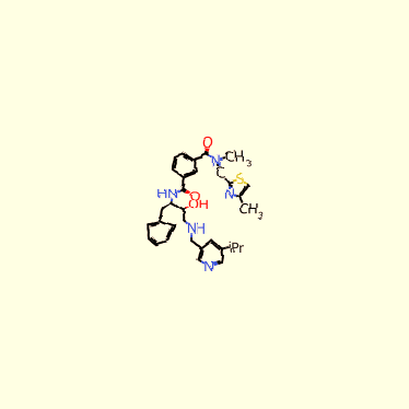 Cc1csc(CN(C)C(=O)c2cccc(C(=O)N[C@H](Cc3ccccc3)[C@@H](O)CNCc3cncc(C(C)C)c3)c2)n1